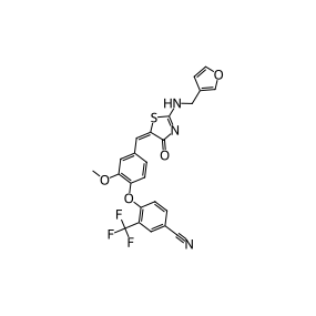 COc1cc(C=C2SC(NCc3ccoc3)=NC2=O)ccc1Oc1ccc(C#N)cc1C(F)(F)F